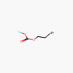 CCCCCOC(=O)OF